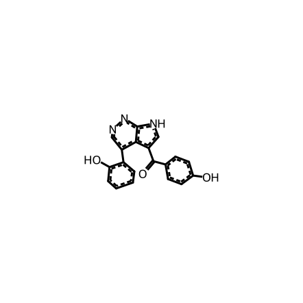 O=C(c1ccc(O)cc1)c1c[nH]c2nncc(-c3ccccc3O)c12